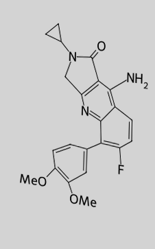 COc1ccc(-c2c(F)ccc3c(N)c4c(nc23)CN(C2CC2)C4=O)cc1OC